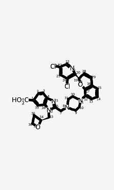 O=C(O)c1ccc2nc(CN3CCN(c4cccc5c4O[C@@H](c4ncc(Cl)cc4Cl)C=C5)CC3)n(C[C@@H]3CCO3)c2c1